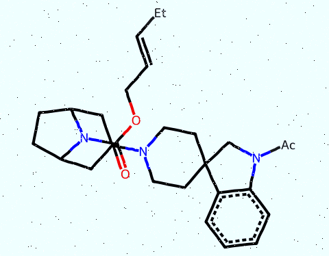 CCC=CCOC(=O)N1C2CCC1CC(N1CCC3(CC1)CN(C(C)=O)c1ccccc13)C2